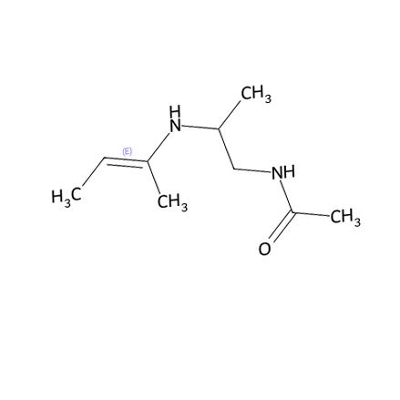 C/C=C(\C)NC(C)CNC(C)=O